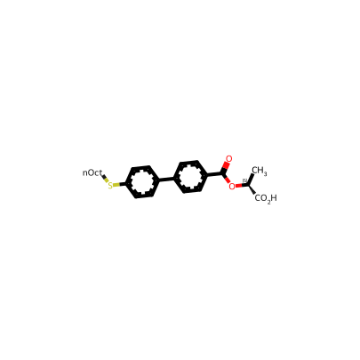 CCCCCCCCSc1ccc(-c2ccc(C(=O)O[C@@H](C)C(=O)O)cc2)cc1